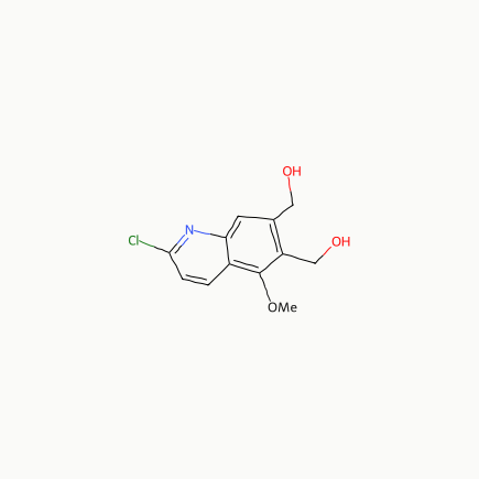 COc1c(CO)c(CO)cc2nc(Cl)ccc12